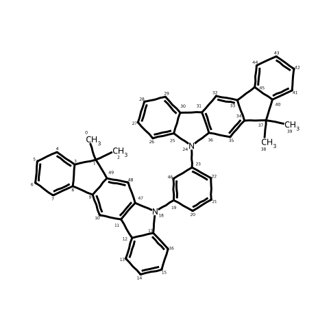 CC1(C)c2ccccc2-c2cc3c4ccccc4n(-c4cccc(-n5c6ccccc6c6cc7c(cc65)C(C)(C)c5ccccc5-7)c4)c3cc21